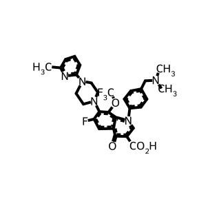 Cc1cccc(N2CCN(c3c(F)cc4c(=O)c(C(=O)O)cn(-c5ccc(CN(C)C)cc5)c4c3OC(F)(F)F)CC2)n1